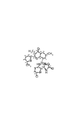 Cc1cc(C(C)Nc2ccc(Cl)nc2-c2noc(=O)[nH]2)c2oc(-c3cccc(C)n3)c(C)c(=O)c2c1